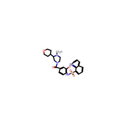 O=C(c1ccc(NS(=O)(=O)c2cccc3cccnc23)c(OC(F)(F)F)c1)N1CCN(C(=O)O)C(C2CCOCC2)C1